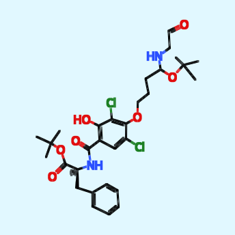 CC(C)(C)OC(=O)[C@H](Cc1ccccc1)NC(=O)c1cc(Cl)c(OCCCC(NCC=O)OC(C)(C)C)c(Cl)c1O